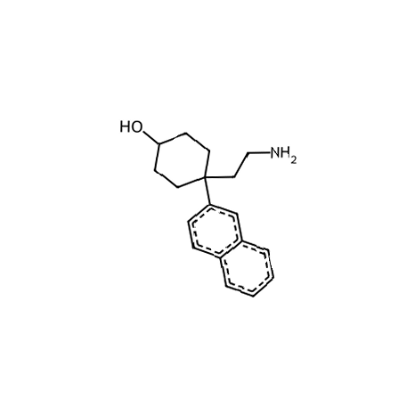 NCCC1(c2ccc3ccccc3c2)CCC(O)CC1